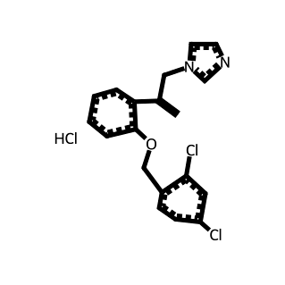 C=C(Cn1ccnc1)c1ccccc1OCc1ccc(Cl)cc1Cl.Cl